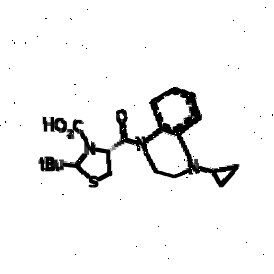 CC(C)(C)C1SC[C@@H](C(=O)N2CCN(C3CC3)c3ccccc32)N1C(=O)O